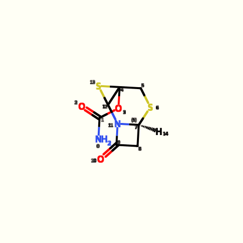 NC(=O)OC12CS[C@H]3CC(=O)N3C1S2